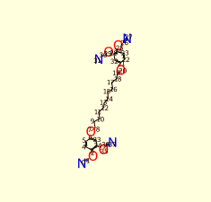 N#COc1ccc(OCCCCCCCCCCCCOc2ccc(OC#N)c(OC#N)c2)cc1OC#N